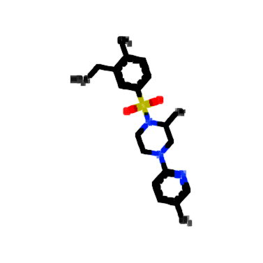 Cc1ccc(S(=O)(=O)N2CCN(c3ccc(C(F)(F)F)cn3)CC2C(C)C)cc1CC(=O)O